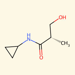 C[C@@H](CO)C(=O)NC1CC1